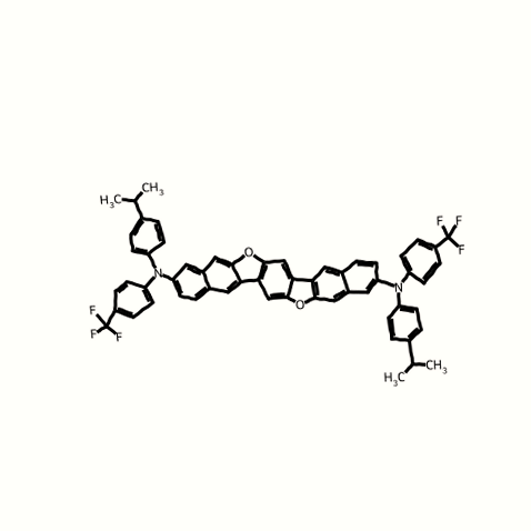 CC(C)c1ccc(N(c2ccc(C(F)(F)F)cc2)c2ccc3cc4c(cc3c2)oc2cc3c(cc24)oc2cc4cc(N(c5ccc(C(C)C)cc5)c5ccc(C(F)(F)F)cc5)ccc4cc23)cc1